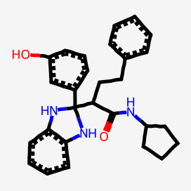 O=C(NC1CCCC1)C(CCc1ccccc1)C1(c2cccc(O)c2)Nc2ccccc2N1